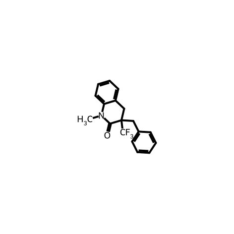 CN1C(=O)C(Cc2ccccc2)(C(F)(F)F)Cc2ccccc21